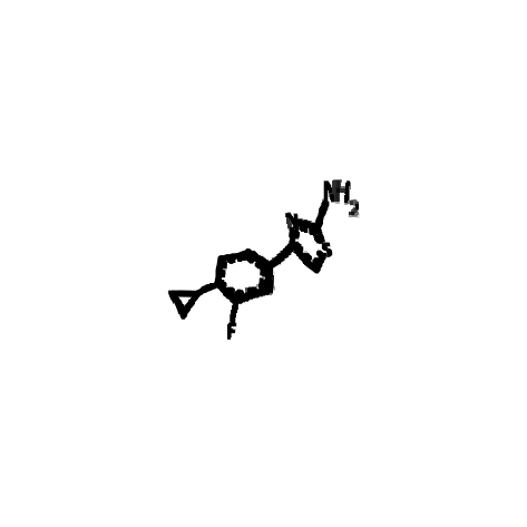 Nc1nc(-c2ccc(C3CC3)c(F)c2)cs1